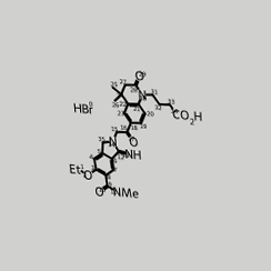 Br.CCOc1cc2c(cc1C(=O)NC)C(=N)N(CC(=O)c1ccc3c(c1)C(C)(C)CC(=O)N3CCCC(=O)O)C2